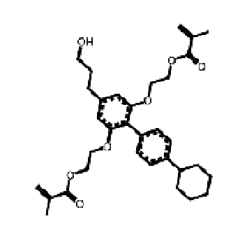 C=C(C)C(=O)OCCOc1cc(CCCO)cc(OCCOC(=O)C(=C)C)c1-c1ccc(C2CCCCC2)cc1